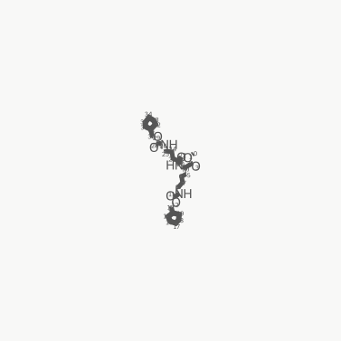 COC(=O)[C@H](CCCCNC(=O)OCc1ccccc1)NC(=O)CCCNC(=O)OCc1ccccc1